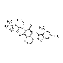 CC[C@@H](C(=O)OC(C)(C)C)n1c(=O)c2ncccc2n(Cc2nsc3cc(C)cc(C)c23)c1=O